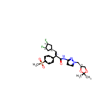 CC1(C)OC[C@H](Cn2ccc(NC(=O)/C(=C/[C@H]3C[C@@H](F)[C@@H](F)C3)c3ccc(S(C)(=O)=O)cc3)n2)O1